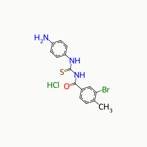 Cc1ccc(C(=O)NC(=S)Nc2ccc(N)cc2)cc1Br.Cl